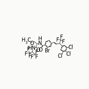 COCC(NC(=O)c1ccc(/C=C/C(c2cc(Cl)c(Cl)c(Cl)c2)C(F)(F)F)cc1Br)C(=O)NC(C(F)(F)F)C(F)(F)F